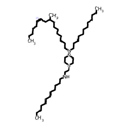 CCCCC/C=C\CC(C)CCCCCCCCN(CCCCCCCCCCCC)N1CCN(CCNCCCCCCCCCCCC)CC1